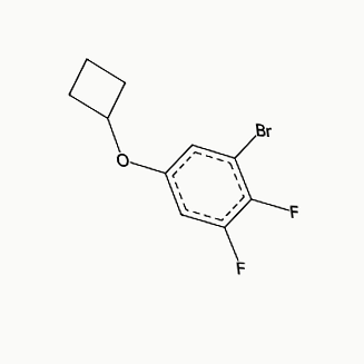 Fc1cc(OC2CCC2)cc(Br)c1F